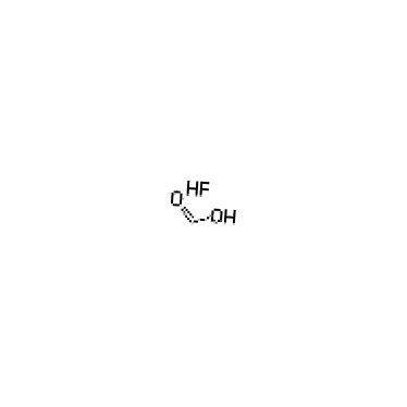 F.O=CO